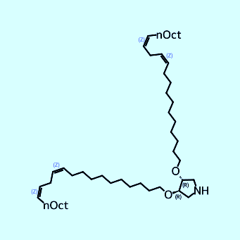 CCCCCCCC/C=C\C/C=C\CCCCCCCCCCO[C@@H]1CNC[C@H]1OCCCCCCCCCC/C=C\C/C=C\CCCCCCCC